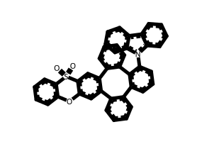 O=S1(=O)c2ccccc2Oc2cc3c(cc21)-c1ccccc1-c1c(cccc1-n1c2ccccc2c2ccccc21)-c1ccccc1-3